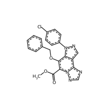 COC(=O)c1c(OCc2ccccc2)c2c(cnn2-c2ccc(Cl)cc2)c2ncnn12